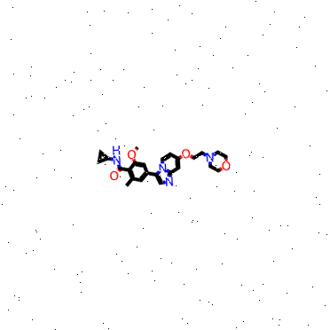 COc1cc(-c2cnc3cc(OCCN4CCOCC4)ccn23)cc(C)c1C(=O)NC1CC1